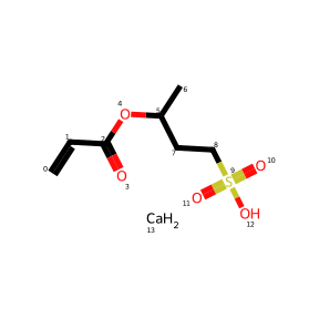 C=CC(=O)OC(C)CCS(=O)(=O)O.[CaH2]